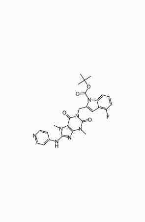 Cn1c(Nc2ccncc2)nc2c1c(=O)n(Cc1cc3c(F)cccc3n1C(=O)OC(C)(C)C)c(=O)n2C